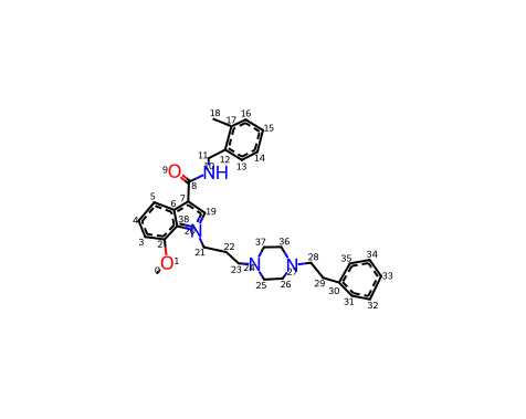 COc1cccc2c(C(=O)NCc3ccccc3C)cn(CCCN3CCN(CCc4ccccc4)CC3)c12